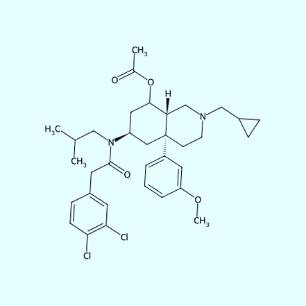 COc1cccc([C@@]23CCN(CC4CC4)C[C@H]2C(OC(C)=O)C[C@H](N(CC(C)C)C(=O)Cc2ccc(Cl)c(Cl)c2)C3)c1